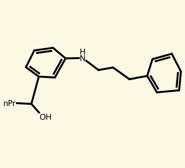 CCCC(O)c1cccc(NCCCc2ccccc2)c1